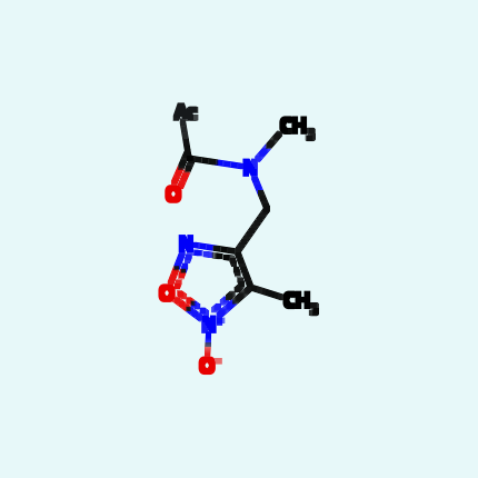 CC(=O)C(=O)N(C)Cc1no[n+]([O-])c1C